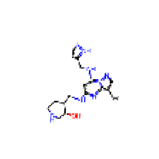 CC(C)c1cnn2c(NCc3ccn[nH]3)cc(NCC3CCNC[C@@H]3O)nc12